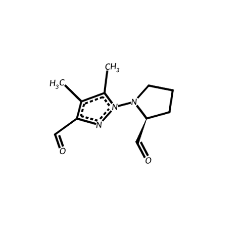 Cc1c(C=O)nn(N2CCC[C@H]2C=O)c1C